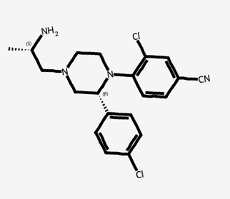 C[C@H](N)CN1CCN(c2ccc(C#N)cc2Cl)[C@H](c2ccc(Cl)cc2)C1